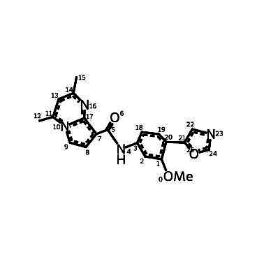 COc1cc(NC(=O)c2ccn3c(C)cc(C)nc23)ccc1-c1cnco1